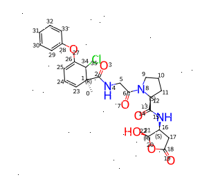 C[C@]1(C(=O)NCC(=O)N2CCC[C@H]2C(=O)N[C@H]2CC(=O)O[C@H]2O)C=CC=C(Oc2ccccc2)C1Cl